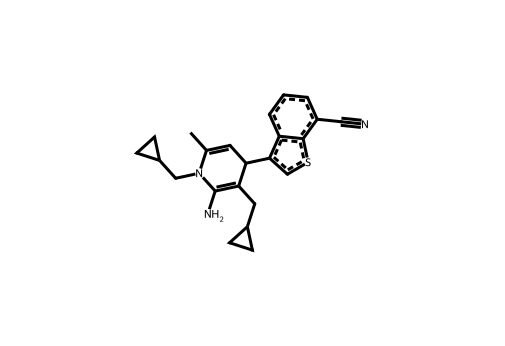 CC1=CC(c2csc3c(C#N)cccc23)C(CC2CC2)=C(N)N1CC1CC1